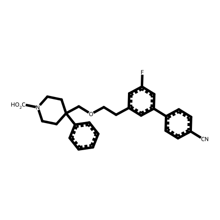 N#Cc1ccc(-c2cc(F)cc(CCOCC3(c4ccccc4)CCN(C(=O)O)CC3)c2)cc1